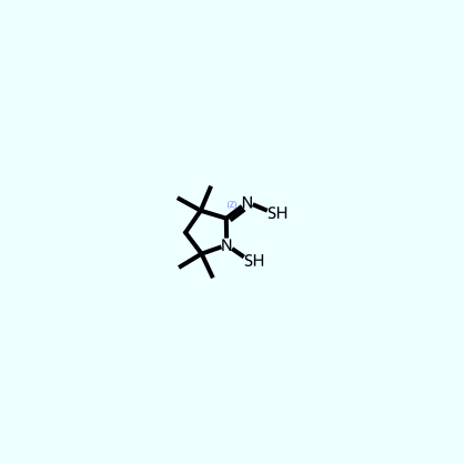 CC1(C)CC(C)(C)N(S)/C1=N\S